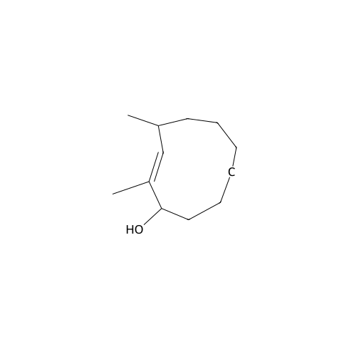 C/C1=C\C(C)CCCCCCC1O